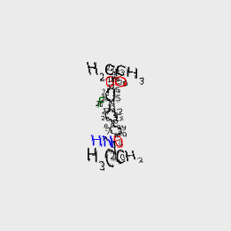 C=C(C)C(=N)Oc1ccc(-c2ccc(-c3ccc(OC(=O)C(=C)C)cc3F)cc2)cc1